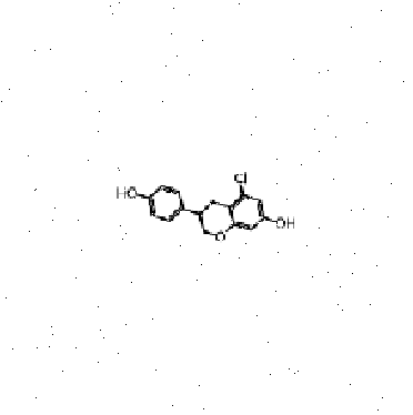 Oc1ccc(C2COc3cc(O)cc(Cl)c3C2)cc1